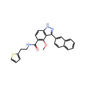 COc1c(C(=O)NCCc2cccs2)ccc2[nH]nc(-c3ccc4ccccc4c3)c12